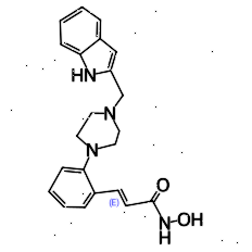 O=C(/C=C/c1ccccc1N1CCN(Cc2cc3ccccc3[nH]2)CC1)NO